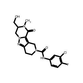 CN1C(=O)c2c3c(nn2CC1CO)CCN(C(=O)Nc1ccc(F)c(Cl)c1)C3